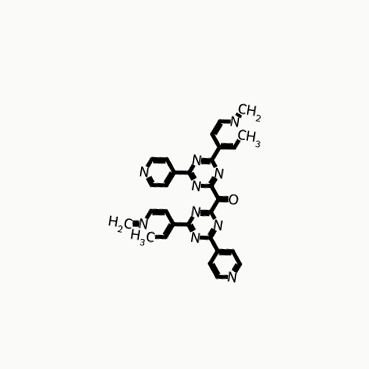 C=N/C=C\C(=C/C)c1nc(C(=O)c2nc(C(/C=C\N=C)=C/C)nc(-c3ccncc3)n2)nc(-c2ccncc2)n1